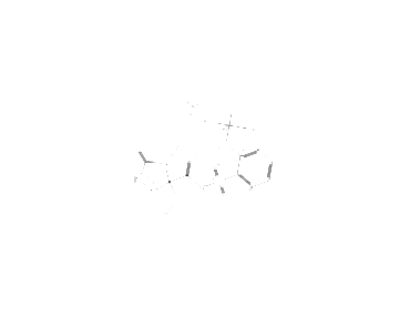 COC1(C(=O)NS(=O)(=O)c2ccccc2OC(F)(F)F)NNC(=O)N1C.[NaH]